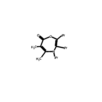 CC1=C(C)N(C(C)C)C(C(C)C)=C(C(C)C)OC1=O